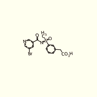 CS(=O)(=NC(=O)c1cncc(Br)c1)c1cccc(CC(=O)O)c1